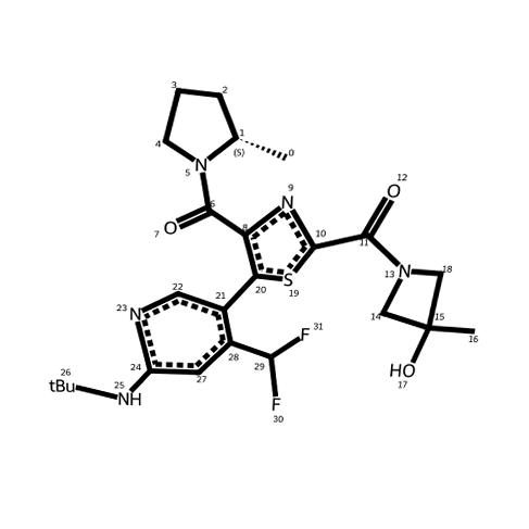 C[C@H]1CCCN1C(=O)c1nc(C(=O)N2CC(C)(O)C2)sc1-c1cnc(NC(C)(C)C)cc1C(F)F